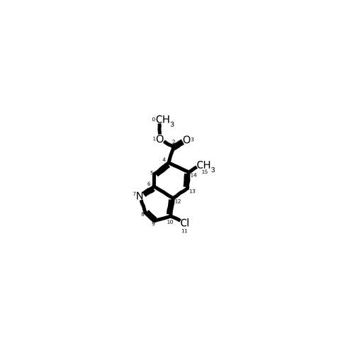 COC(=O)c1cc2nccc(Cl)c2cc1C